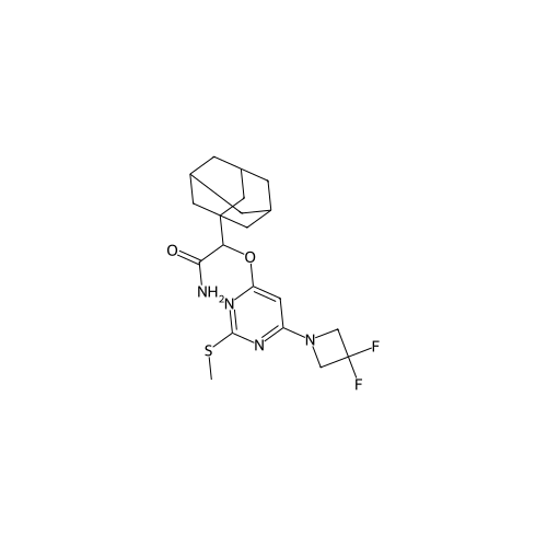 CSc1nc(OC(C(N)=O)C23CC4CC(CC(C4)C2)C3)cc(N2CC(F)(F)C2)n1